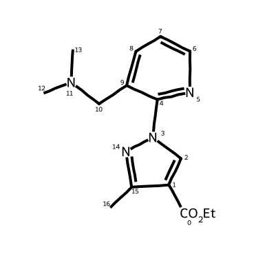 CCOC(=O)c1cn(-c2ncccc2CN(C)C)nc1C